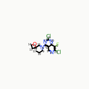 Fc1c(Cl)ncc2c(N3CCC[C@@]4(CCO4)C3)nc(Cl)nc12